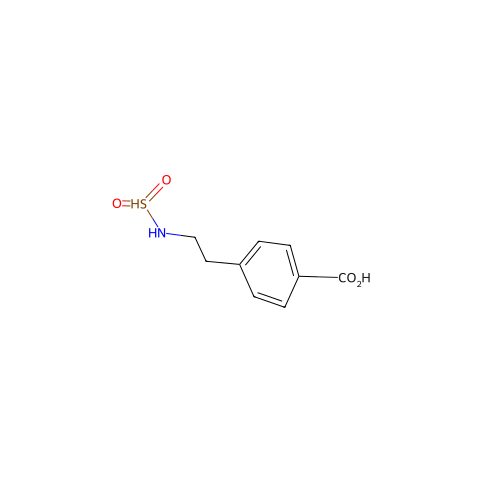 O=C(O)c1ccc(CCN[SH](=O)=O)cc1